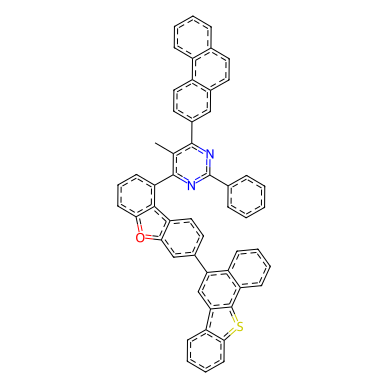 Cc1c(-c2ccc3c(ccc4ccccc43)c2)nc(-c2ccccc2)nc1-c1cccc2oc3cc(-c4cc5c6ccccc6sc5c5ccccc45)ccc3c12